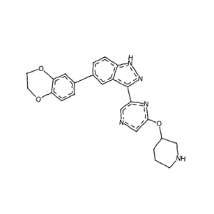 c1cc2c(cc1-c1ccc3[nH]nc(-c4cncc(OC5CCCNC5)n4)c3c1)OCCO2